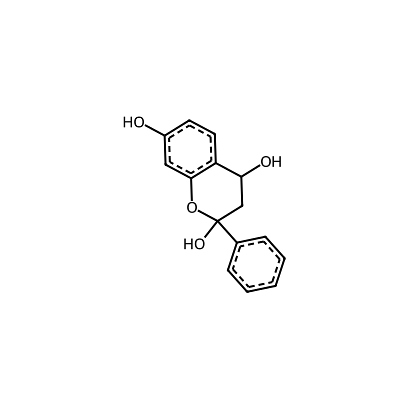 Oc1ccc2c(c1)OC(O)(c1ccccc1)CC2O